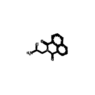 NC(Cl)CN1C(=O)c2cccc3cccc(c23)C1=O